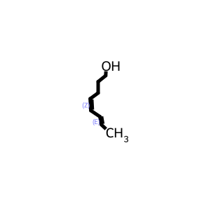 C/C=C/C=C\CCCO